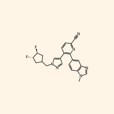 Cn1cnc2cc(-c3nc(C#N)ccc3-c3cnn(CC4C[C@H](F)[C@@H](F)C4)c3)ccc21